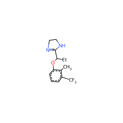 CCC(Oc1cccc(C(F)(F)F)c1C)C1=NCCN1